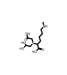 CNCCCCC(C(=O)O)N(CC(=O)O)CC(O)O